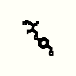 CCCC(F)C(F)COc1ccc(CCl)cc1